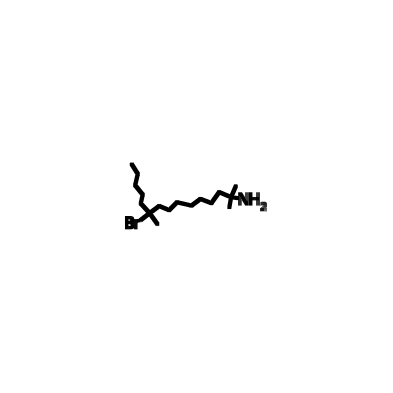 CCCCCC(C)(Br)CCCCCCCC(C)(C)N